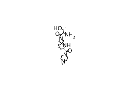 C[C@@H](O)[C@H](N)C(=O)N1CC2(C1)N[C@H](C(=O)N1CCN(C)CC1)CS2